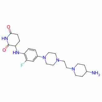 NC1CCN(CCN2CCN(c3ccc(NC4CCC(=O)NC4=O)c(F)c3)CC2)CC1